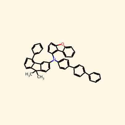 CC1(C)c2ccc(N(c3ccc(-c4ccc(-c5ccccc5)cc4)cc3)c3cccc4oc5ccccc5c34)cc2-c2c(-c3ccccc3)cccc21